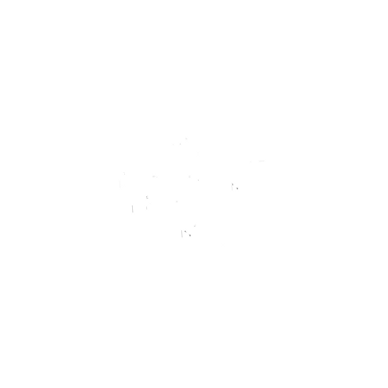 CN1C=CNC(C)(C(=O)O)C1=O